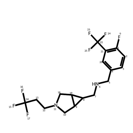 Fc1ccc(CNCC2C3CN(CCC(F)(F)F)CC23)cc1C(F)(F)F